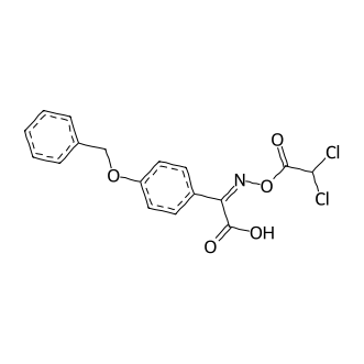 O=C(O)C(=NOC(=O)C(Cl)Cl)c1ccc(OCc2ccccc2)cc1